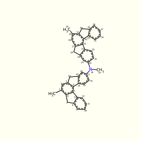 Cc1cc2c(c3c1Cc1ccccc1-3)-c1ccc(N(C)c3ccc4c(c3)Cc3cc(C)c5c(c3-4)-c3ccccc3C5)cc1C2